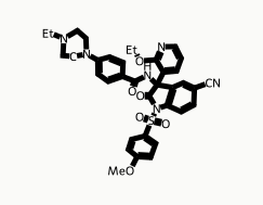 CCOc1ncccc1C1(NC(=O)c2ccc(N3CCN(CC)CC3)cc2)C(=O)N(S(=O)(=O)c2ccc(OC)cc2)c2ccc(C#N)cc21